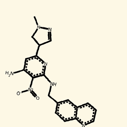 CN1CC(c2cc(N)c([N+](=O)[O-])c(NCc3ccc4ncccc4c3)n2)C=N1